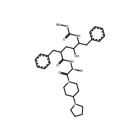 CC(C)[C@H](NC(=O)C(Cc1ccccc1)CC(O)C(Cc1ccccc1)NC(=O)OC(C)(C)C)C(=O)N1CCC(N2CCCC2)CC1